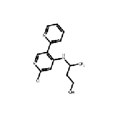 OCCC(Nc1cc(Cl)ncc1-c1ccccn1)C(F)(F)F